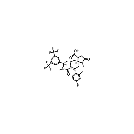 Cc1cc(F)ccc1[C@H]1C[C@]2(CCN1C(=O)N(C)[C@H](C)c1cc(C(F)(F)F)cc(C(F)(F)F)c1)C(C(=O)O)CC(=O)N2C